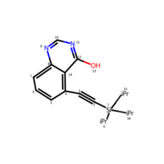 CC(C)[Si](C#Cc1cccc2ncnc(O)c12)(C(C)C)C(C)C